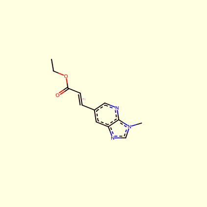 CCOC(=O)/C=C/c1cnc2c(c1)ncn2C